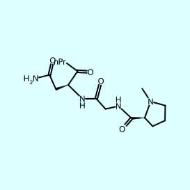 CCCC(=O)[C@H](CC(N)=O)NC(=O)CNC(=O)[C@@H]1CCCN1C